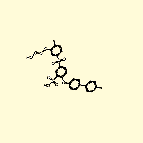 Cc1ccc(-c2ccc(Oc3ccc(S(=O)(=O)c4ccc(C)c(SOOO)c4)cc3S(=O)(=O)O)cc2)cc1